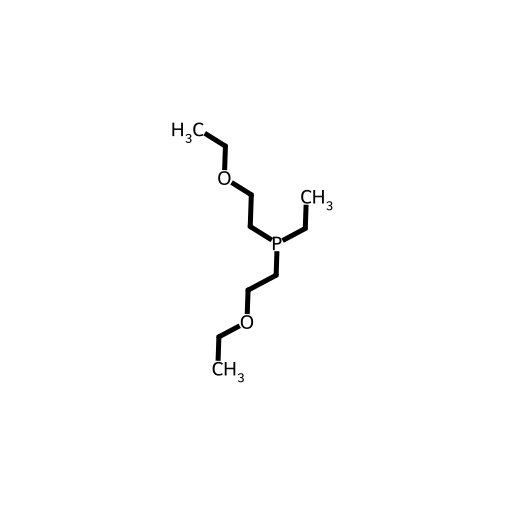 CCOCCP(CC)CCOCC